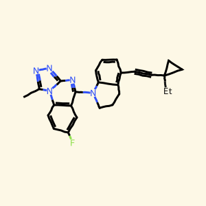 CCC1(C#Cc2cccc3c2CCCN3c2nc3nnc(C)n3c3ccc(F)cc23)CC1